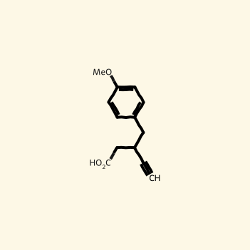 C#CC(CC(=O)O)Cc1ccc(OC)cc1